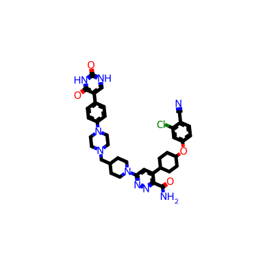 N#Cc1ccc(OC2CCC(c3cc(N4CCC(CN5CCN(c6ccc(-c7c[nH]c(=O)[nH]c7=O)cc6)CC5)CC4)nnc3C(N)=O)CC2)cc1Cl